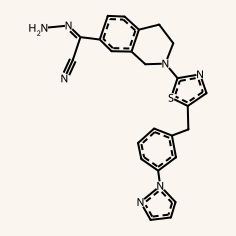 N#C/C(=N\N)c1ccc2c(c1)CN(c1ncc(Cc3cccc(-n4cccn4)c3)s1)CC2